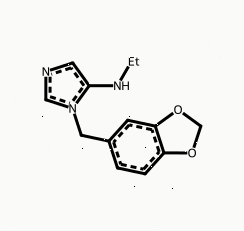 CCNc1cncn1Cc1ccc2c(c1)OCO2